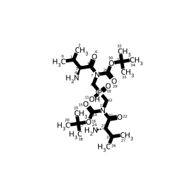 CC(C)[C@H](N)C(=O)N(CP(=O)(O)CN(C(=O)OC(C)(C)C)C(=O)[C@@H](N)C(C)C)C(=O)OC(C)(C)C